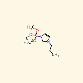 CCCN1C=CN([Si](OC)(OC)OC)C1